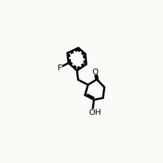 O=C1CCC(O)=CC1Cc1ccccc1F